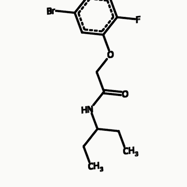 CCC(CC)NC(=O)COc1cc(Br)ccc1F